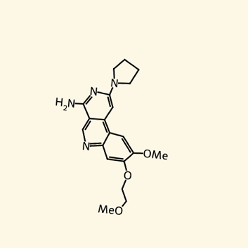 COCCOc1cc2ncc3c(N)nc(N4CCCC4)cc3c2cc1OC